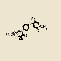 COCCN(C(=O)C1(C)CC1)[C@H]1CC[C@H](Oc2cc(=O)n(C)cc2Br)CC1